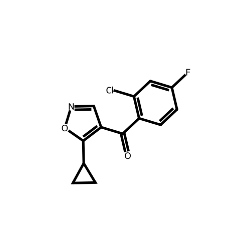 O=C(c1ccc(F)cc1Cl)c1cnoc1C1CC1